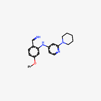 CC(C)Oc1ccc(C=N)c(Nc2ccnc(N3CCCCC3)c2)c1